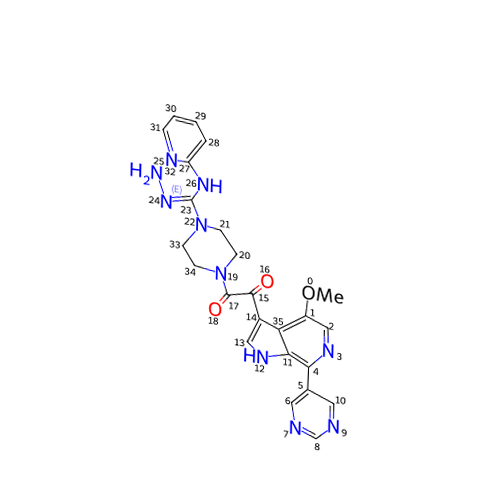 COc1cnc(-c2cncnc2)c2[nH]cc(C(=O)C(=O)N3CCN(/C(=N/N)Nc4ccccn4)CC3)c12